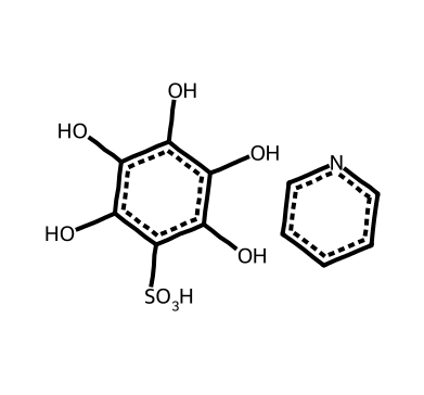 O=S(=O)(O)c1c(O)c(O)c(O)c(O)c1O.c1ccncc1